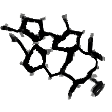 CC(C)(C)n1cc(-c2cc3c(cc2F)S(=O)(=O)C[C@H](N)C(=O)N3Cc2ccc(Cl)cc2)cn1